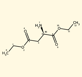 CCOC(=O)C[C@@H](N)C(=O)OCC